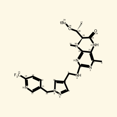 Cc1nc(NCc2cnn(Cc3ccc(C(F)(F)F)nc3)c2)nc2c1NC(=O)[C@H]([C@@H](C)OC(C)(C)C)N2C